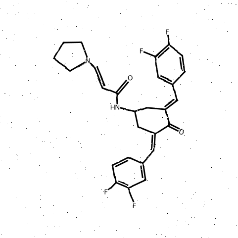 O=C(C=CN1CCCC1)NC1C/C(=C\c2ccc(F)c(F)c2)C(=O)/C(=C/c2ccc(F)c(F)c2)C1